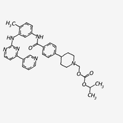 Cc1ccc(NC(=O)c2ccc(C3CCN(COC(=O)OC(C)C)CC3)cc2)cc1Nc1nccc(-c2cccnc2)n1